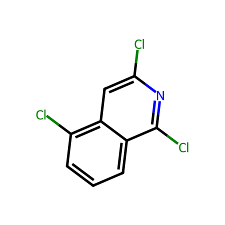 Clc1cc2c(Cl)cccc2c(Cl)n1